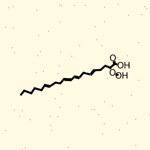 CCCCCC=CCCC=CC=CCC=CCCC(OO)C(=O)O